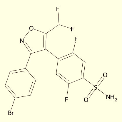 NS(=O)(=O)c1cc(F)c(-c2c(-c3ccc(Br)cc3)noc2C(F)F)cc1F